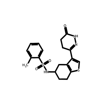 Cc1ccccc1S(=O)(=O)NC1CCc2scc(C3=NNC(=O)CC3)c2C1